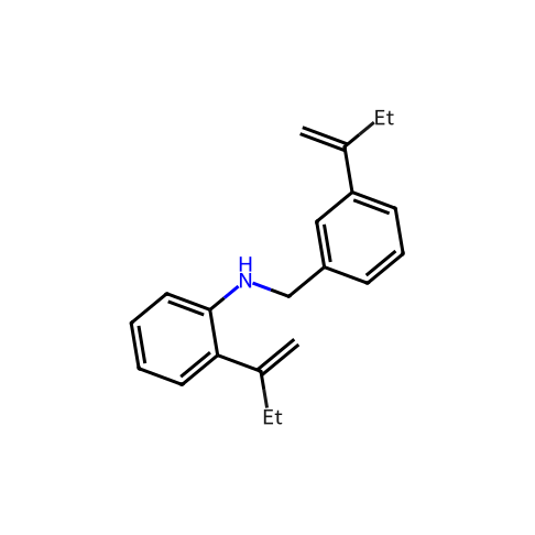 C=C(CC)c1cccc(CNc2ccccc2C(=C)CC)c1